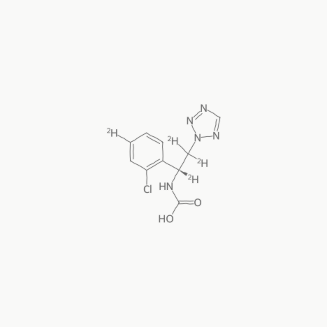 [2H]c1ccc([C@@]([2H])(NC(=O)O)C([2H])([2H])n2ncnn2)c(Cl)c1